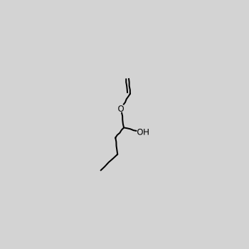 C=COC(O)CCC